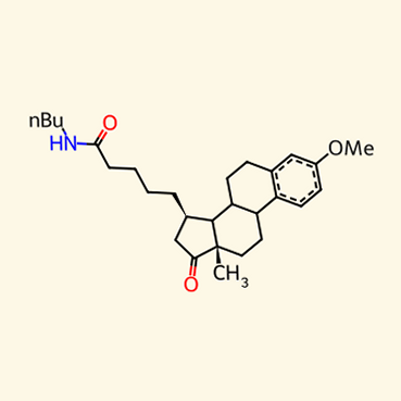 CCCCNC(=O)CCCC[C@@H]1CC(=O)[C@@]2(C)CCC3c4ccc(OC)cc4CCC3C12